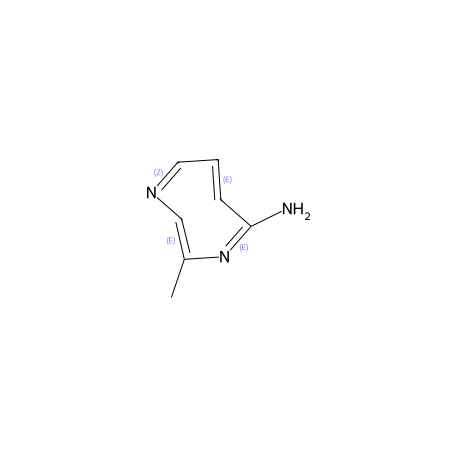 CC1=C\N=C/C=C/C(N)=N\1